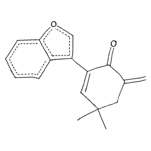 C=C1CC(C)(C)C=C(c2coc3ccccc23)C1=O